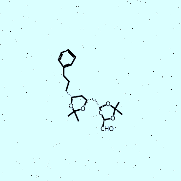 CC1(C)O[C@H](CCCc2ccccc2)C[C@H](C[C@H]2C[C@H](C=O)OC(C)(C)O2)O1